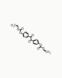 C=COC(=O)Oc1ccc(C(=O)C(=O)c2ccc(OC(=O)OC=C)cc2)cc1